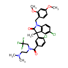 COc1ccc(CN2C(=O)C(C)(c3cc(C(=O)N(CCN(C)C)CC(F)(F)F)ccc3Cl)c3cc(Cl)ccc32)c(OC)c1